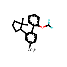 CC1(C)CCCC1c1cc(C(=O)O)ccc1-c1ccccc1OC(F)F